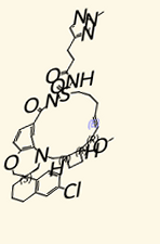 CO[C@H]1/C=C/CCCS(=O)(NC(=O)CCc2cnn(C)n2)=NC(=O)c2ccc3c(c2)N(C[C@@H]2CC[C@H]21)C[C@@]1(CCCc2cc(Cl)ccc21)CO3